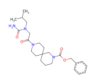 CC(C)CN(CC(=O)N1CCC2(CCCN(C(=O)OCc3ccccc3)C2)CC1)C(N)=O